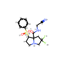 N#CCNC(=O)C12CC(F)(F)CN1CCC2S(=O)(=O)c1ccccc1